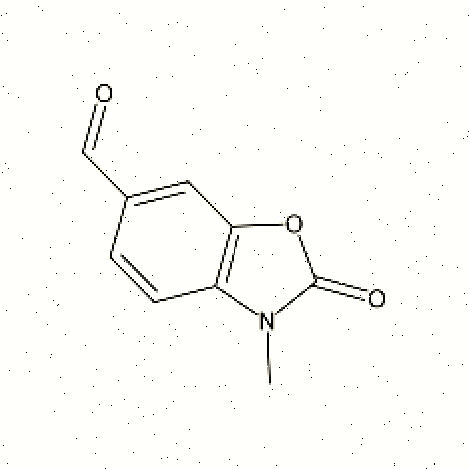 Cn1c(=O)oc2cc(C=O)ccc21